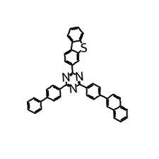 c1ccc(-c2ccc(-c3nc(-c4ccc(-c5ccc6ccccc6c5)cc4)nc(-c4ccc5c(c4)sc4ccccc45)n3)cc2)cc1